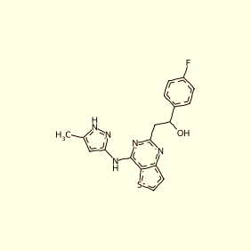 Cc1cc(Nc2nc(CC(O)c3ccc(F)cc3)nc3ccsc23)n[nH]1